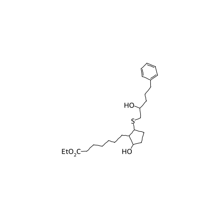 CCOC(=O)CCCCCCC1C(O)CCC1SCC(O)CCCc1ccccc1